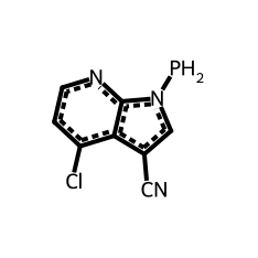 N#Cc1cn(P)c2nccc(Cl)c12